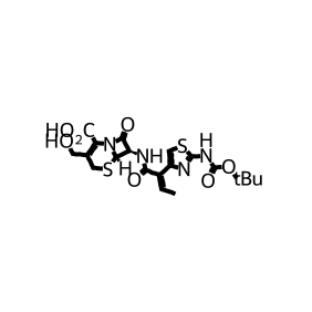 CC=C(C(=O)N[C@@H]1C(=O)N2C(C(=O)O)=C(CO)CS[C@@H]12)c1csc(NC(=O)OC(C)(C)C)n1